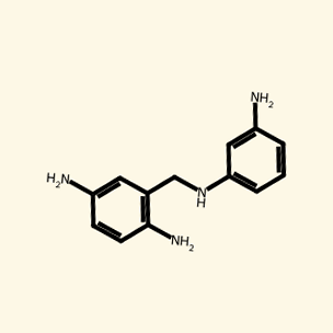 Nc1cccc(NCc2cc(N)ccc2N)c1